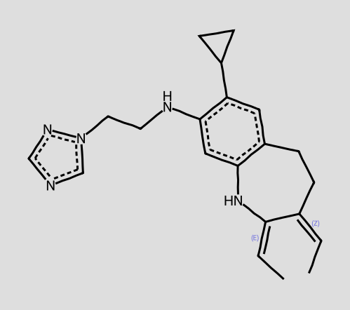 C/C=C1/CCc2cc(C3CC3)c(NCCn3cncn3)cc2N/C1=C/C